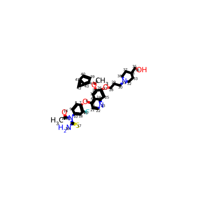 COc1cc2c(Oc3ccc(N(C(C)=O)C(N)=S)cc3F)ccnc2cc1OCCCN1CCC(CO)CC1.c1cc2cc-2c1